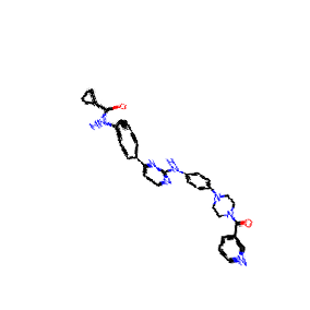 O=C(Nc1ccc(-c2ccnc(Nc3ccc(N4CCN(C(=O)c5cccnc5)CC4)cc3)n2)cc1)C1CC1